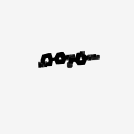 CSc1ccc(C(=O)NC2=CCC([C@@H]3CCCNC3)C=C2)cn1